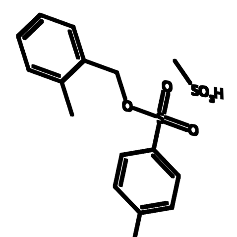 CS(=O)(=O)O.Cc1ccc(S(=O)(=O)OCc2ccccc2C)cc1